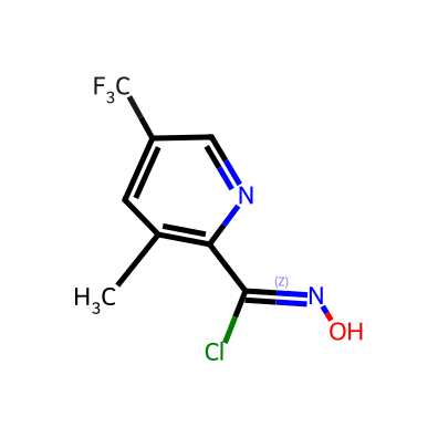 Cc1cc(C(F)(F)F)cnc1/C(Cl)=N/O